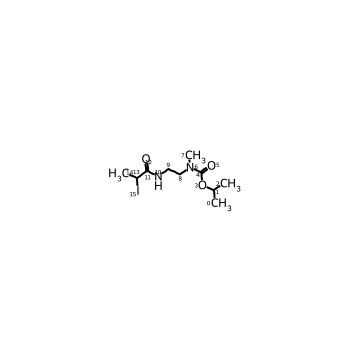 CC(C)OC(=O)N(C)CCNC(=O)C(C)I